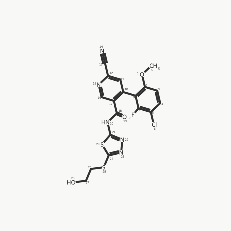 COc1ccc(Cl)c(F)c1-c1cc(C#N)ncc1C(=O)Nc1nnc(SCCO)s1